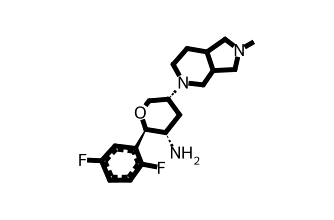 CN1CC2CCN([C@H]3CO[C@H](c4cc(F)ccc4F)[C@@H](N)C3)CC2C1